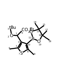 CCOC(=O)C(OC(C)(C)C)c1c(C)sc(C)c1B1OC(C)(C)C(C)(C)O1